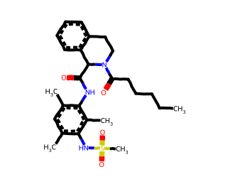 CCCCCC(=O)N1CCc2ccccc2C1C(=O)Nc1c(C)cc(C)c(NS(C)(=O)=O)c1C